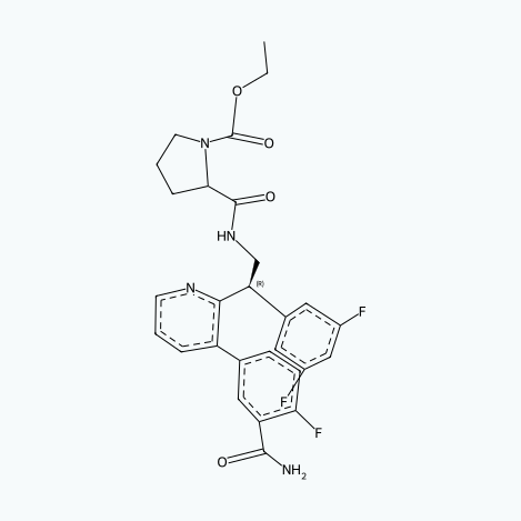 CCOC(=O)N1CCCC1C(=O)NC[C@@H](c1cc(F)cc(F)c1)c1ncccc1-c1ccc(F)c(C(N)=O)c1